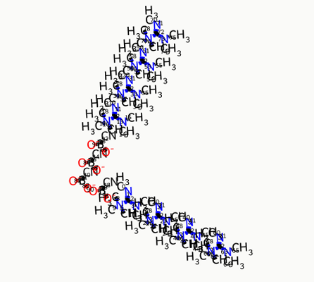 CN=C(N(C)C)[N+](C)(C)C.CN=C(N(C)C)[N+](C)(C)C.CN=C(N(C)C)[N+](C)(C)C.CN=C(N(C)C)[N+](C)(C)C.CN=C(N(C)C)[N+](C)(C)C.CN=C(N(C)C)[N+](C)(C)C.CN=C(N(C)C)[N+](C)(C)C.CN=C(N(C)C)[N+](C)(C)C.N#CB([O-])[O-].N#CB([O-])[O-].N#CB([O-])[O-].N#CB([O-])[O-]